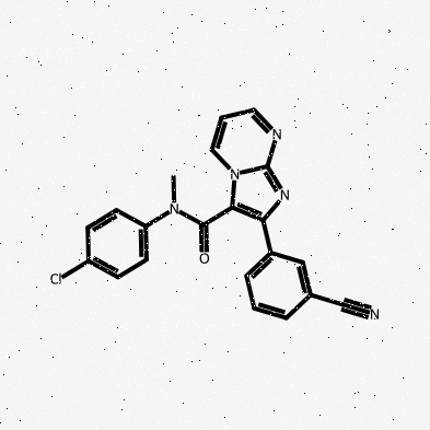 CN(C(=O)c1c(-c2cccc(C#N)c2)nc2ncccn12)c1ccc(Cl)cc1